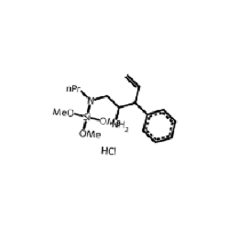 C=CC(c1ccccc1)C(N)CN(CCC)[Si](OC)(OC)OC.Cl